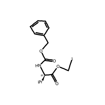 CC(C)[C@@H](NC(=O)OCc1ccccc1)C(=O)OCI